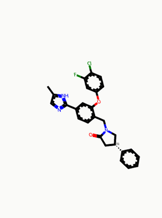 Cc1cnc(-c2ccc(CN3C[C@H](c4ccccc4)CC3=O)c(Oc3ccc(Cl)c(F)c3)c2)[nH]1